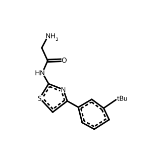 CC(C)(C)c1cccc(-c2csc(NC(=O)CN)n2)c1